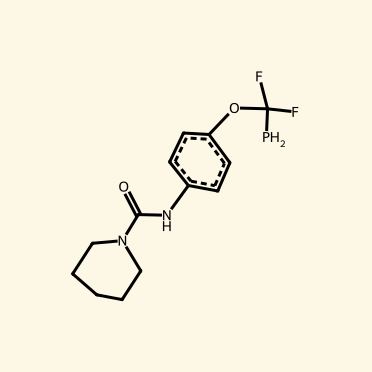 O=C(Nc1ccc(OC(F)(F)P)cc1)N1CCCCC1